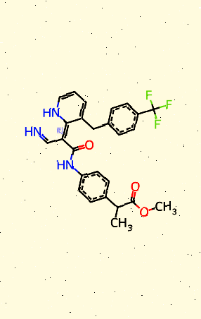 COC(=O)C(C)c1ccc(NC(=O)/C(C=N)=C2/NC=CC=C2Cc2ccc(C(F)(F)F)cc2)cc1